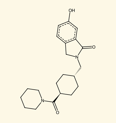 O=C1c2cc(O)ccc2CN1C[C@H]1CC[C@H](C(=O)N2CCCCC2)CC1